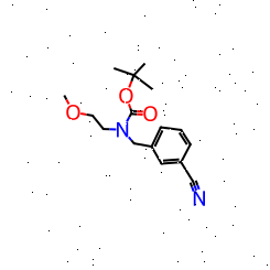 COCCN(Cc1cccc(C#N)c1)C(=O)OC(C)(C)C